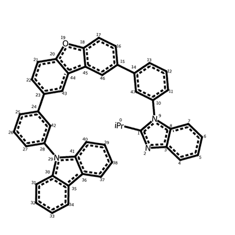 CC(C)c1nc2ccccc2n1-c1cccc(-c2ccc3oc4ccc(-c5cccc(-n6c7ccccc7c7ccccc76)c5)cc4c3c2)c1